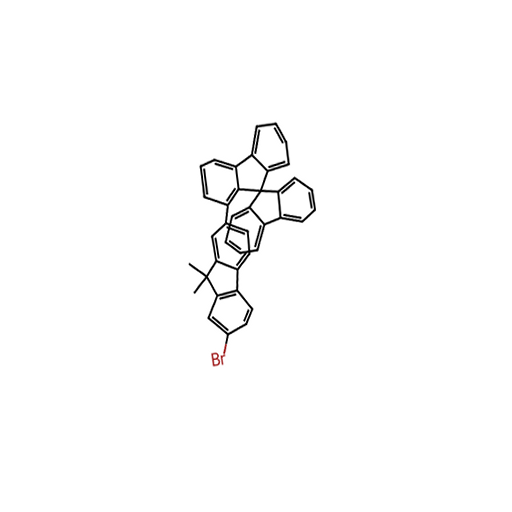 CC1(C)c2cc(Br)ccc2-c2ccc(-c3cccc4c3C3(c5ccccc5-c5ccccc53)c3ccccc3-4)cc21